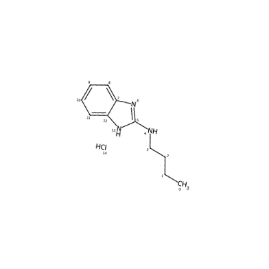 CCCCNc1nc2ccccc2[nH]1.Cl